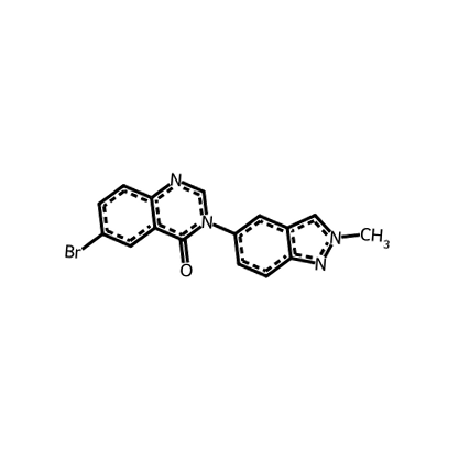 Cn1cc2cc(-n3cnc4ccc(Br)cc4c3=O)ccc2n1